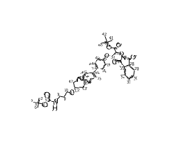 CC(C)(C)OC(=O)NCCCOC1Cn2cc(-c3ccc(OCC(ON4C(=O)c5ccccc5C4=O)C(=O)OC(C)(C)C)cc3)c[n+]2C1